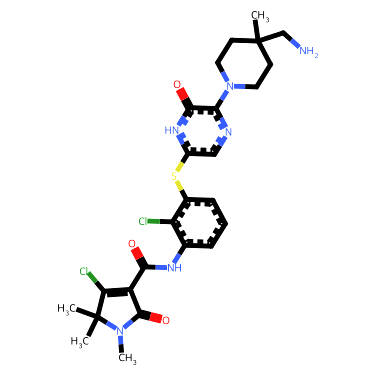 CN1C(=O)C(C(=O)Nc2cccc(Sc3cnc(N4CCC(C)(CN)CC4)c(=O)[nH]3)c2Cl)=C(Cl)C1(C)C